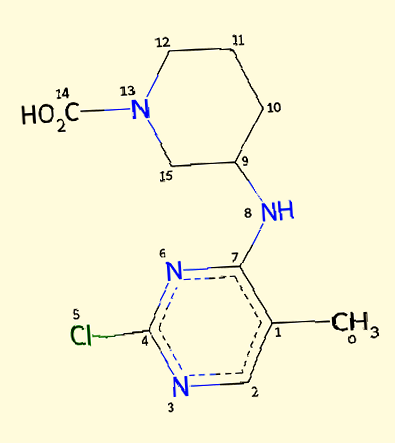 Cc1cnc(Cl)nc1NC1CCCN(C(=O)O)C1